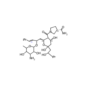 CC(C)/C=C/C(C[C@@H]1OC(O)(CC(O)C(C)C)C[C@H](O)C1C(=O)N1CC[C@H](C(N)=O)C1)OC1OC(C)C(O)C(N)C1O